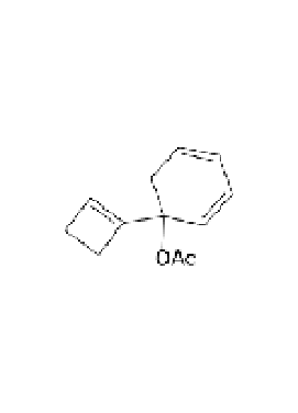 CC(=O)OC1(C2=CCC2)C=CC=CC1